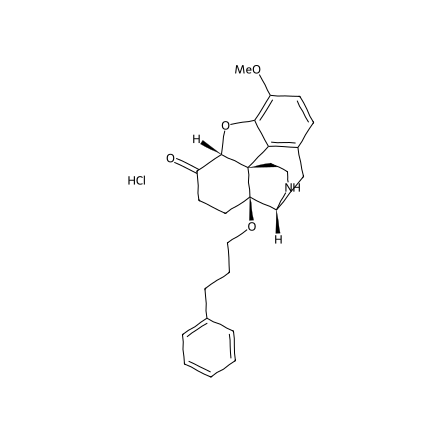 COc1ccc2c3c1O[C@H]1C(=O)CC[C@@]4(OCCCc5ccccc5)[C@@H](C2)NCC[C@]314.Cl